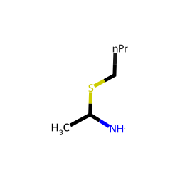 CCCCSC(C)[NH]